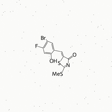 CSC1=NC(=O)C(=Cc2cc(Br)c(F)cc2O)S1